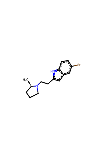 C[C@@H]1CCCN1CCc1cc2cc(Br)ccc2[nH]1